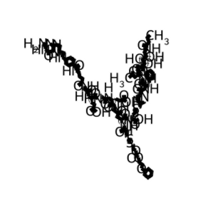 CCCC(=O)NC[C@H](O)[C@@H](O)[C@H](O)[C@H]1COB([C@H](CC(C)C)NC(=O)[C@H](Cc2ccccc2)NC(=O)c2cnc(CSSC[C@H](NC(=O)[C@H](CNC(=O)CCSSCCOC(=O)OCCOC3CCCCC3)CC(=O)CNC(=O)[C@H](CCC(=O)O)NC(=O)CNC(=O)[C@H](CCC(=O)O)NC(=O)CNC(=O)CCCNC(=O)c3ccc(NCc4cnc5nc(N)[nH]c(=O)c5n4)cc3)C(=O)O)cn2)O1